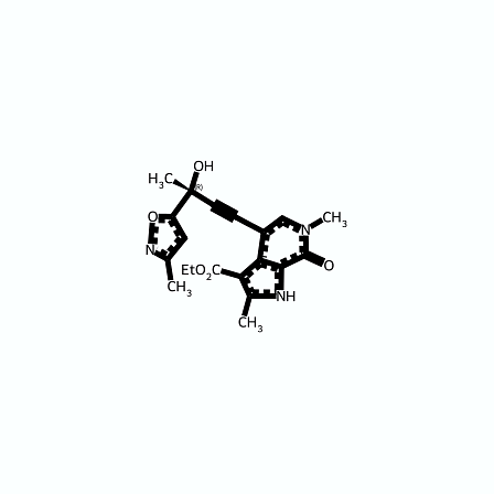 CCOC(=O)c1c(C)[nH]c2c(=O)n(C)cc(C#C[C@@](C)(O)c3cc(C)no3)c12